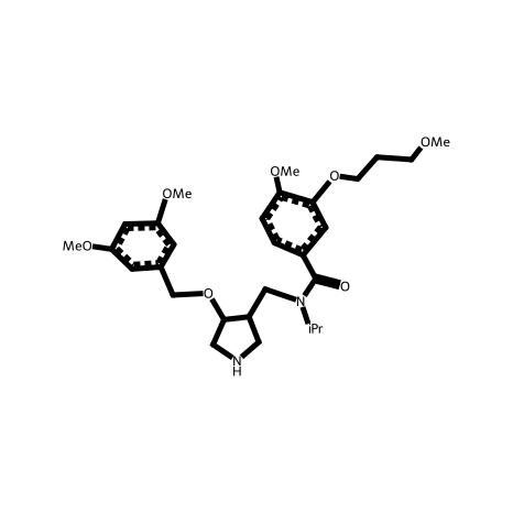 COCCCOc1cc(C(=O)N(CC2CNCC2OCc2cc(OC)cc(OC)c2)C(C)C)ccc1OC